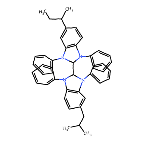 CCC(C)c1ccc2c(c1)N(c1ccccc1)C(C1N(c3ccccc3)c3ccc(CC(C)C)cc3N1c1ccccc1)N2c1ccccc1